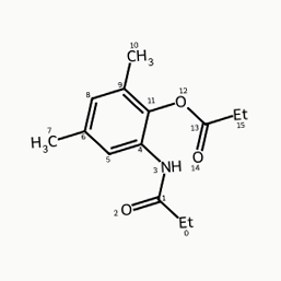 CCC(=O)Nc1cc(C)cc(C)c1OC(=O)CC